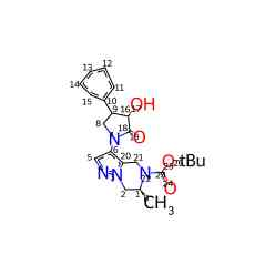 C[C@H]1Cn2ncc(N3CC(c4ccccc4)C(O)C3=O)c2CN1C(=O)OC(C)(C)C